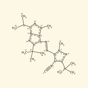 [C-]#[N+]c1c(C(C)(C)C)nn(C)c1/N=N/c1c(C(C)(C)C)nn2c(C(C)C)nn(C)c12